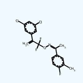 C=C(c1cc(Cl)cc(Cl)c1)C(F)(F)ON=C(C)c1ccc(F)c(C)c1